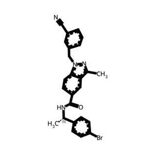 Cc1nn(Cc2cccc(C#N)c2)c2ccc(C(=O)N[C@@H](C)c3ccc(Br)cc3)cc12